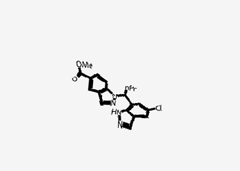 CCCC(c1cc(Cl)cc2cn[nH]c12)n1ncc2cc(C(=O)OC)ccc21